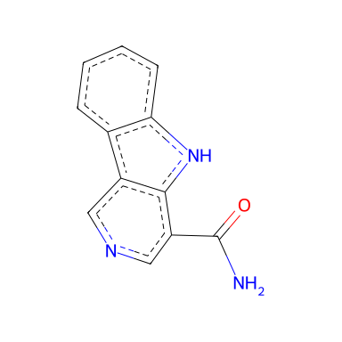 NC(=O)c1cncc2c1[nH]c1ccccc12